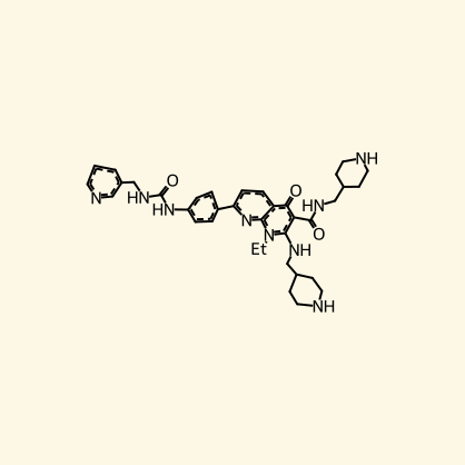 CCn1c(NCC2CCNCC2)c(C(=O)NCC2CCNCC2)c(=O)c2ccc(-c3ccc(NC(=O)NCc4cccnc4)cc3)nc21